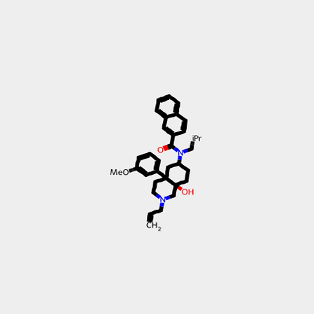 C=CCN1CCC2(c3cccc(OC)c3)CC(N(CC(C)C)C(=O)c3ccc4ccccc4c3)CCC2(O)C1